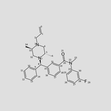 C=CCN1C[C@H](C)N([C@H](c2c[c]ccc2)c2cccc(C(=O)N(C)c3cccc(F)c3)c2)C[C@H]1C